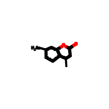 Cc1cc(=O)oc2cc([AsH2])ccc12